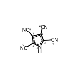 N#Cc1[nH]c(C#N)c(C#N)c1C#N